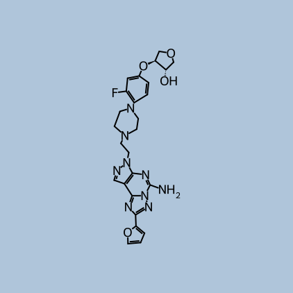 Nc1nc2c(cnn2CCN2CCN(c3ccc(O[C@H]4COC[C@@H]4O)cc3F)CC2)c2nc(-c3ccco3)nn12